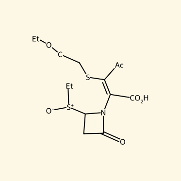 CCOCCSC(C(C)=O)=C(C(=O)O)N1C(=O)CC1[S+]([O-])CC